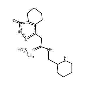 CS(=O)(=O)O.O=C(Cc1n[nH]c(=O)c2c1CCCC2)NCC1CCCCN1